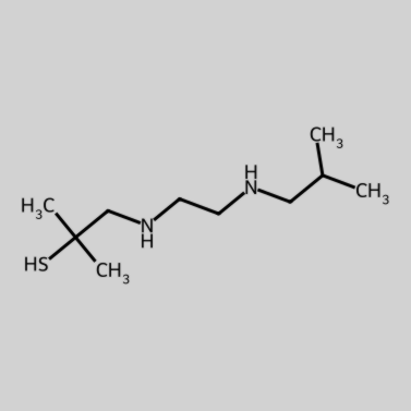 CC(C)CNCCNCC(C)(C)S